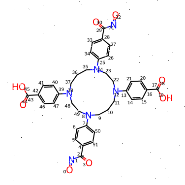 O=NC(=O)c1ccc(N2CCCN(c3ccc(C(=O)O)cc3)CCN(c3ccc(C(=O)N=O)cc3)CCCN(c3ccc(C(=O)O)cc3)CC2)cc1